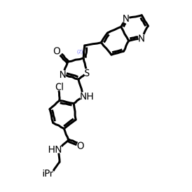 CC(C)CNC(=O)c1ccc(Cl)c(NC2=NC(=O)/C(=C/c3ccc4nccnc4c3)S2)c1